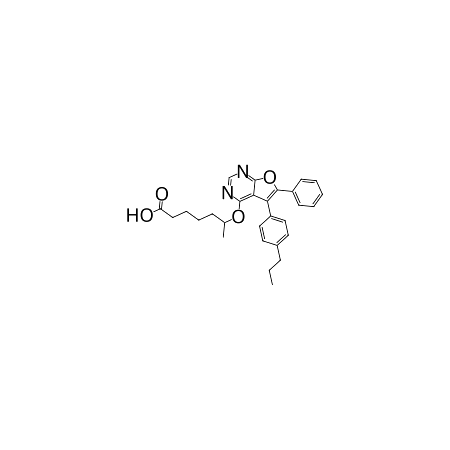 CCCc1ccc(-c2c(-c3ccccc3)oc3ncnc(OC(C)CCCCC(=O)O)c23)cc1